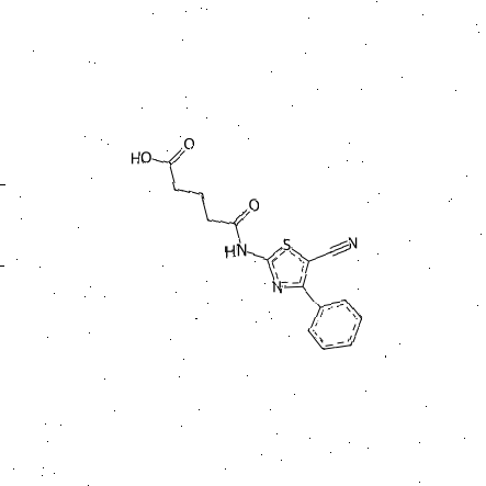 N#Cc1sc(NC(=O)CCCC(=O)O)nc1-c1ccccc1